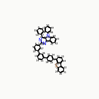 c1ccc(-c2nc(-c3cccc(-c4cccc(-c5ccc(-c6cccc7c6sc6ccccc67)cc5)c4)c3)nc3c4ccccc4n(-c4ccccc4)c23)cc1